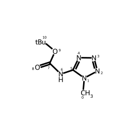 Cn1nnnc1NC(=O)OC(C)(C)C